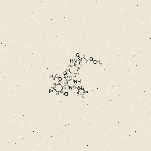 COCCS(=O)(=O)N[C@H]1CC[C@H](C2=C(C(=O)OC)C(c3ccc(F)cc3Cl)N=C(c3nccs3)N2)CC1